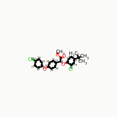 COC(=O)C(Oc1ccc(C(C)(C)C)cc1Cl)c1ccc(Oc2ccc(Cl)cc2)cc1